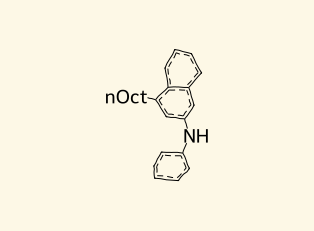 CCCCCCCCc1cc(Nc2ccccc2)cc2ccccc12